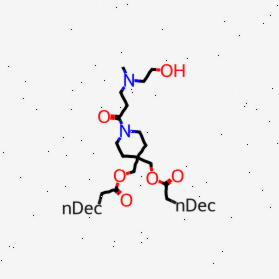 CCCCCCCCCCCC(=O)OCC1(COC(=O)CCCCCCCCCCC)CCN(C(=O)CCN(C)CCO)CC1